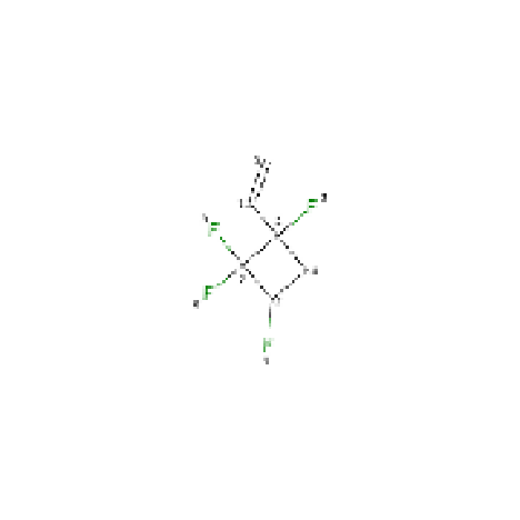 C=[C]C1(F)CC(F)C1(F)F